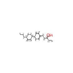 CCCC1CCC(C2CCC(CCC(O)CC)CC2)CC1